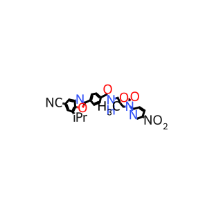 CC(C)c1cc(C#N)cc2nc(-c3ccc(C(=O)NCC4(C)CN(C5=NCC([N+](=O)[O-])C=C5)C(=O)O4)cc3)oc12